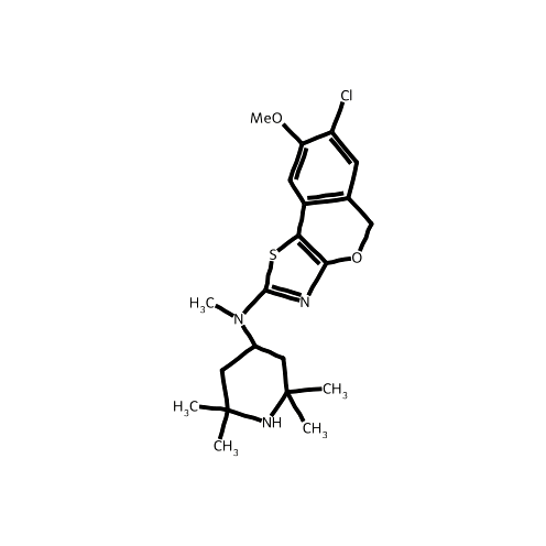 COc1cc2c(cc1Cl)COc1nc(N(C)C3CC(C)(C)NC(C)(C)C3)sc1-2